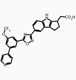 O=C(O)CC1CCc2c1[nH]c1ccc(-c3noc(-c4cc(OC(F)(F)F)cc(-c5ccncc5)c4)n3)cc21